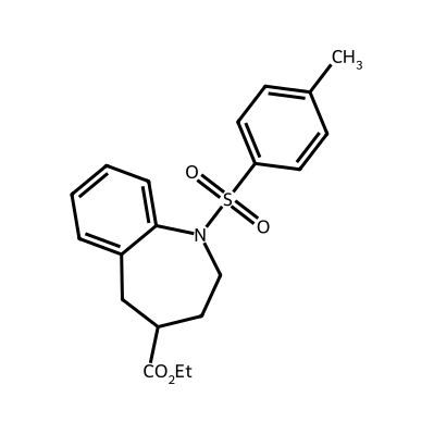 CCOC(=O)C1CCN(S(=O)(=O)c2ccc(C)cc2)c2ccccc2C1